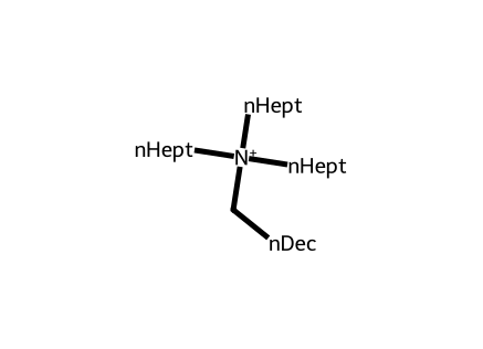 CCCCCCCCCCC[N+](CCCCCCC)(CCCCCCC)CCCCCCC